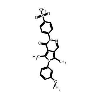 COc1cccc(-n2c(C)c3cnn(-c4ccc(S(C)(=O)=O)cc4)c(=O)c3c2C)c1